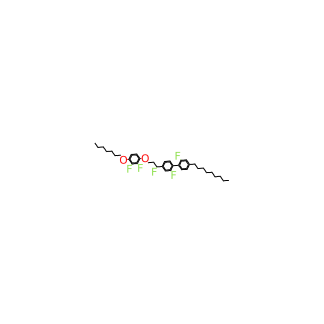 CCCCCCCCCc1ccc(-c2ccc(C(F)CCOc3ccc(OCCCCCCC)c(F)c3F)cc2F)c(F)c1